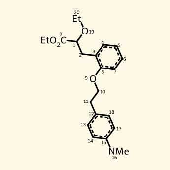 CCOC(=O)C(Cc1ccccc1OCCc1ccc(NC)cc1)OCC